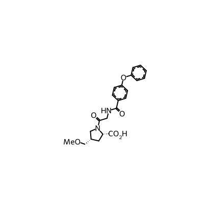 COC[C@H]1C[C@@H](C(=O)O)N(C(=O)CNC(=O)c2ccc(Oc3ccccc3)cc2)C1